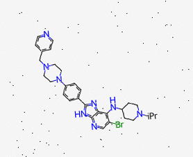 CC(C)N1CCC(Nc2c(Br)cnc3[nH]c(-c4ccc(N5CCN(Cc6ccncc6)CC5)cc4)nc23)CC1